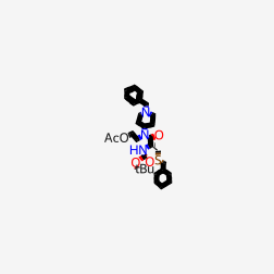 CC(=O)OCCN(C(=O)[C@H](CSCC1CCCCC1)NC(=O)OC(C)(C)C)C1CCN(Cc2ccccc2)CC1